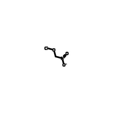 O=[N+]([O-])COCl